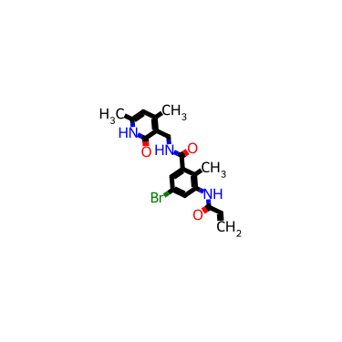 C=CC(=O)Nc1cc(Br)cc(C(=O)NCc2c(C)cc(C)[nH]c2=O)c1C